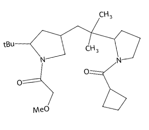 COCC(=O)N1CC(CC(C)(C)C2CCCN2C(=O)C2CCC2)CC1C(C)(C)C